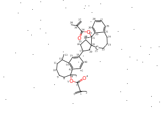 C=C(C)C(=O)OC1(C)CCCCC(C)c2cc(C3CCC4(CCCCc5ccccc5C4(C)OC(=O)C(=C)C)C3)ccc21